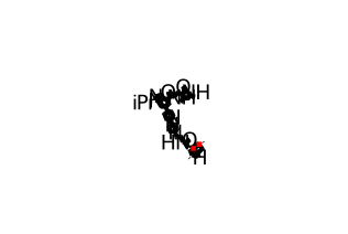 Cc1cc(C)c(CNC(=O)c2cc(-c3ccc(N4CCN(CCNC(=O)C[C@@]56C[C@@H]7C[C@@](C)(C[C@@](C)(C7)C5)C6)CC4)nc3)cc3c2cnn3C(C)C)c(=O)[nH]1